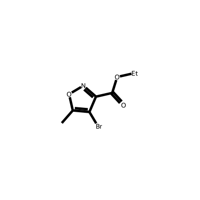 CCOC(=O)c1noc(C)c1Br